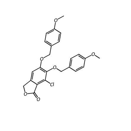 COc1ccc(COc2cc3c(c(Cl)c2OCc2ccc(OC)cc2)C(=O)OC3)cc1